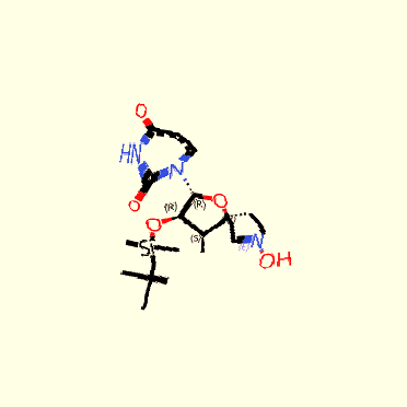 CC[C@@]1(/C=N/O)O[C@@H](n2ccc(=O)[nH]c2=O)[C@H](O[Si](C)(C)C(C)(C)C)[C@@H]1C